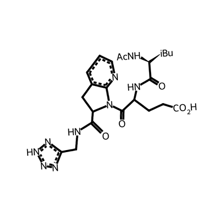 CC[C@H](C)[C@H](NC(C)=O)C(=O)NC(CCC(=O)O)C(=O)N1c2ncccc2CC1C(=O)NCc1nn[nH]n1